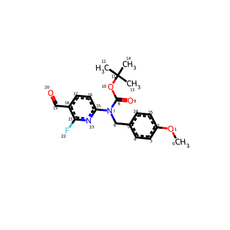 COc1ccc(CN(C(=O)OC(C)(C)C)c2ccc(C=O)c(F)n2)cc1